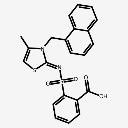 Cc1csc(=NS(=O)(=O)c2ccccc2C(=O)O)n1Cc1cccc2ccccc12